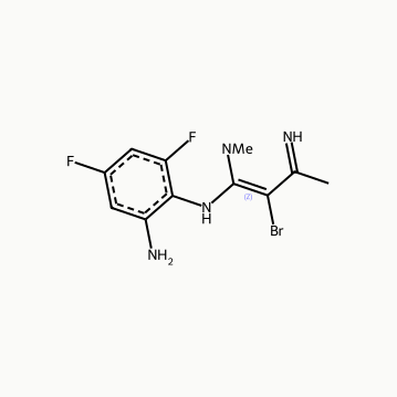 CN/C(Nc1c(N)cc(F)cc1F)=C(/Br)C(C)=N